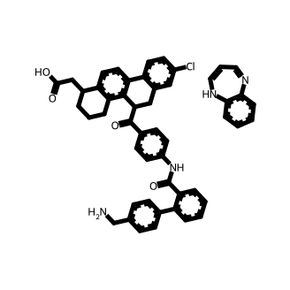 C1=CNc2ccccc2N=C1.NCc1ccc(-c2ccccc2C(=O)Nc2ccc(C(=O)C3Cc4cc(Cl)ccc4-c4ccc5c(c43)CCCC5CC(=O)O)cc2)cc1